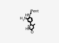 CCCC(C)CNc1ccc(C2=NNC(=O)CC2C)cc1N